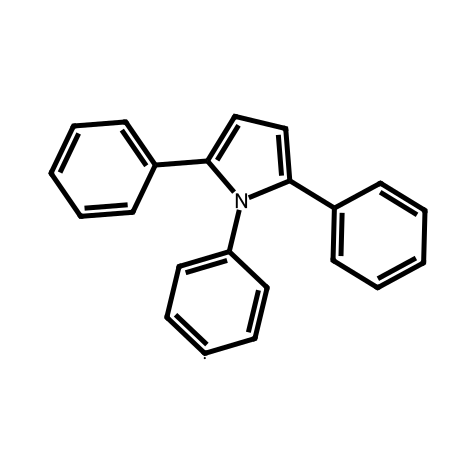 [c]1ccc(-n2c(-c3ccccc3)ccc2-c2ccccc2)cc1